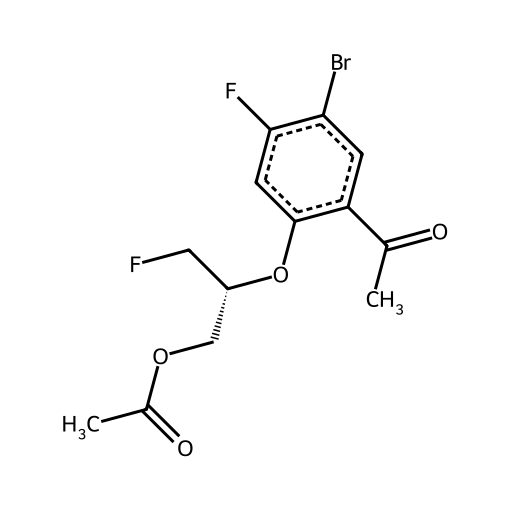 CC(=O)OC[C@H](CF)Oc1cc(F)c(Br)cc1C(C)=O